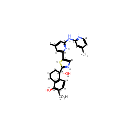 Cc1cc(Nc2cc(C(F)(F)F)ccn2)nc(-c2cnc([C@]3(O)CCCc4c3ccc(C(=O)O)c4O)s2)c1